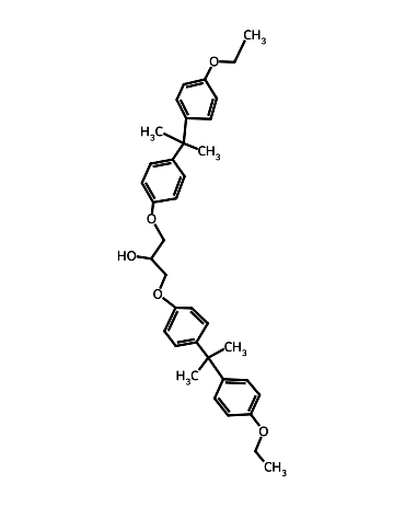 CCOc1ccc(C(C)(C)c2ccc(OCC(O)COc3ccc(C(C)(C)c4ccc(OCC)cc4)cc3)cc2)cc1